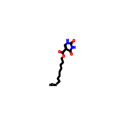 CCCCCCCCCCCCCCCCCCOC(=O)c1c[nH]c(=O)[nH]c1=O